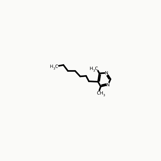 CCCCCCCc1c(C)ncnc1C